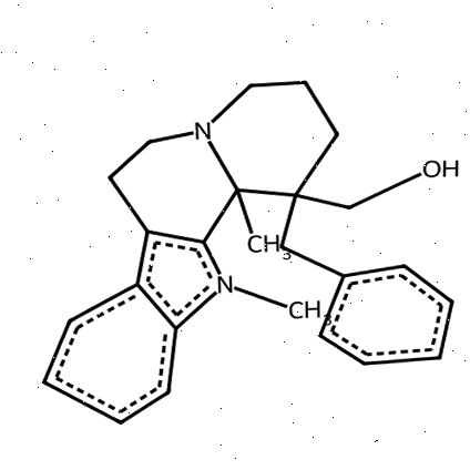 Cn1c2c(c3ccccc31)CCN1CCCC(CO)(Cc3ccccc3)C21C